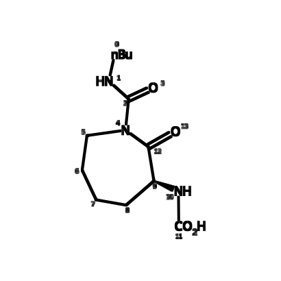 CCCCNC(=O)N1CCCC[C@H](NC(=O)O)C1=O